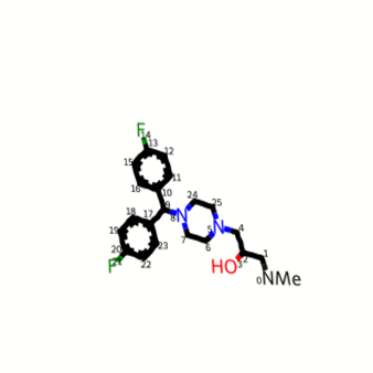 CNCC(O)CN1CCN(C(c2ccc(F)cc2)c2ccc(F)cc2)CC1